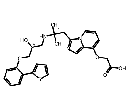 CC(C)(Cc1ncc2c(OCC(=O)O)cccn12)NC[C@H](O)COc1ccccc1-c1cccs1